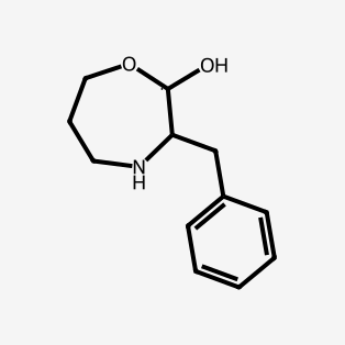 O[C]1OCCCNC1Cc1ccccc1